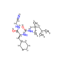 CC(C)CC(C)(C)CNC(=O)N[C@@H](CC1CCCCC1)C(=O)NCC#N